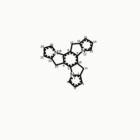 c1cc2n(c1)-c1c3c(c4c(c1C2)-n1cccc1C4)-n1cccc1C3